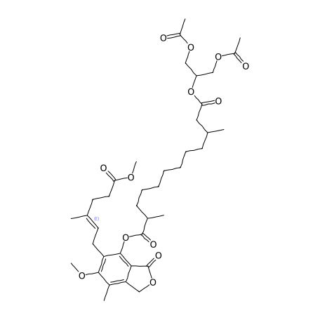 COC(=O)CC/C(C)=C/Cc1c(OC)c(C)c2c(c1OC(=O)C(C)CCCCCCCC(C)CC(=O)OC(COC(C)=O)COC(C)=O)C(=O)OC2